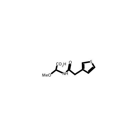 COC(NC(=O)Cc1ccsc1)C(=O)O